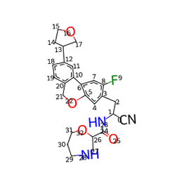 N#CC(Cc1cc2c(cc1F)-c1cc(C3CCOC3)ccc1CO2)NC(=O)C1CNCCCO1